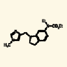 CCOC(=O)N(CC)c1ccc2c(c1)N(Cc1cn(C)cn1)CC2